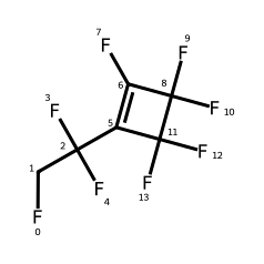 FCC(F)(F)C1=C(F)C(F)(F)C1(F)F